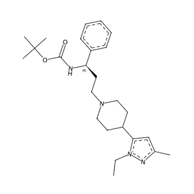 CCn1nc(C)cc1C1CCN(CC[C@@H](NC(=O)OC(C)(C)C)c2ccccc2)CC1